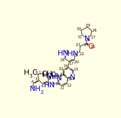 CC(C)C(=C/N)/C=C(\N)NC1C=Cc2ncc(/C(C=N)=C/NCCC(=O)N3CCCCC3)cc2N1C